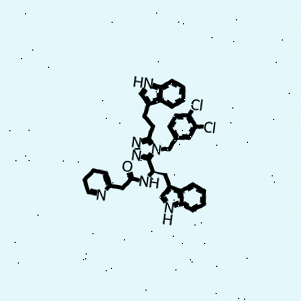 O=C(CC1=CCCC=N1)N[C@H](Cc1c[nH]c2ccccc12)c1nnc(CCc2c[nH]c3ccccc23)n1Cc1ccc(Cl)c(Cl)c1